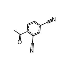 CC(=O)c1ccc(C#N)cc1C#N